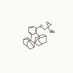 CC(C)(C)C1(COc2cccc(C34CC5CC(CC(C5)C3)C4)c2C23CC4CC(CC(C4)C2)C3)CO1